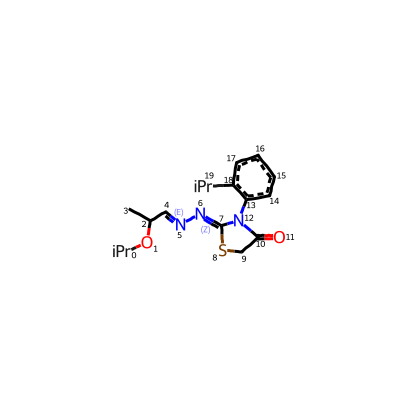 CC(C)OC(C)/C=N/N=C1\SCC(=O)N1c1ccccc1C(C)C